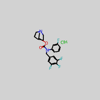 Cl.O=C(OC1CN2CCC1CC2)N(Cc1cc(F)c(F)c(F)c1)c1cccc(F)c1